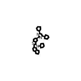 c1ccc(-c2cc(-c3ccccc3)nc(-c3ccc4sc5c6ccc7ccccc7c6n(-c6ccccc6)c5c4c3)n2)cc1